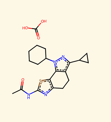 CC(=O)Nc1nc2c(s1)-c1c(c(C3CC3)nn1C1CCCCC1)CC2.O=C(O)O